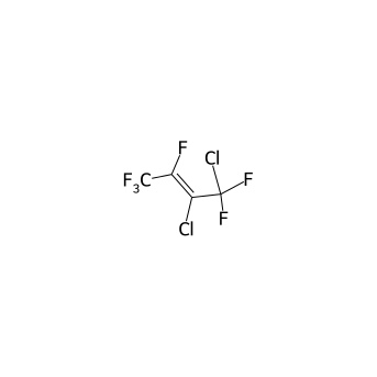 FC(=C(Cl)C(F)(F)Cl)C(F)(F)F